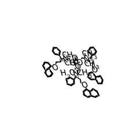 C[N+](C)(COP(=O)(OC[N+](C)(C)[C@@H](CCOc1cccc2ccccc12)c1ccccc1)OC[N+](C)(C)[C@@H](CCOc1cccc2ccccc12)c1ccccc1)[C@@H](CCOc1cccc2ccccc12)c1ccccc1